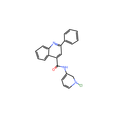 O=C(NC1=CC=CN(Cl)C1)c1cc(-c2ccccc2)nc2ccccc12